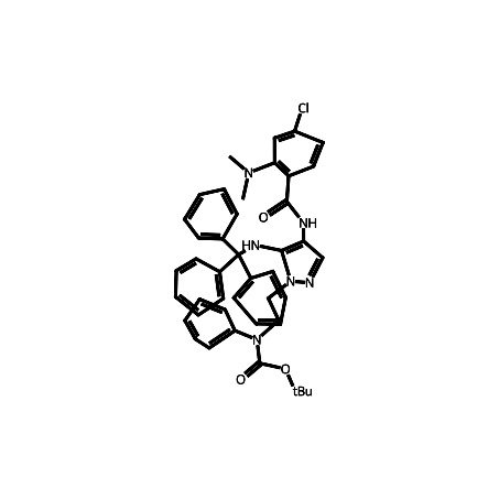 CN(C)c1cc(Cl)ccc1C(=O)Nc1cnn(CCN(C(=O)OC(C)(C)C)c2ccccc2)c1NC(c1ccccc1)(c1ccccc1)c1ccccc1